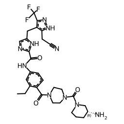 CCc1cc(NC(=O)c2ncc(Cc3c(C(F)(F)F)n[nH]c3CC#N)[nH]2)ccc1C(=O)N1CCN(C(=O)N2CCC[C@@H](N)C2)CC1